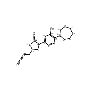 [N-]=[N+]=NCC1CN(c2ccc(N3CCCSCC3)c(F)c2)C(=O)O1